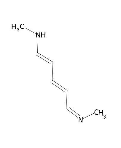 C/N=C\C=CC=CNC